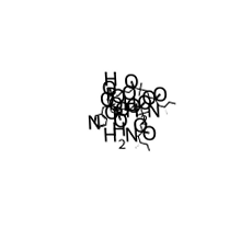 CC[C@H](C)[C@H](N)C(=O)OCC(C)(C)C(=O)OCO[PH](=O)OC(O)(Cc1cccnc1)O[PH](=O)OCOC(=O)C(C)(C)COC(=O)[C@@H](N)[C@@H](C)CC